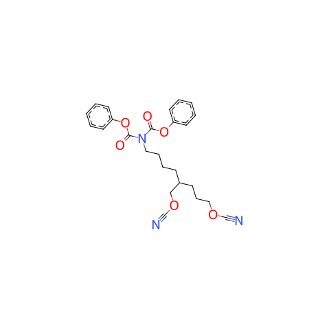 N#COCCCC(CCCCN(C(=O)Oc1ccccc1)C(=O)Oc1ccccc1)COC#N